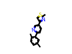 Cc1ccc(C)c(-c2ccc(-c3csc(C)n3)cn2)c1